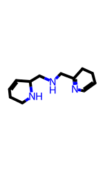 C1=CC(CNCC2=NC=CCC2)NCC1